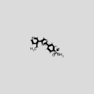 CCc1ccncc1-c1csc(-c2ccc(S(N)(=O)=O)cc2)n1